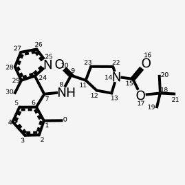 Cc1ccccc1C(NC(=O)C1CCN(C(=O)OC(C)(C)C)CC1)c1ncccc1C